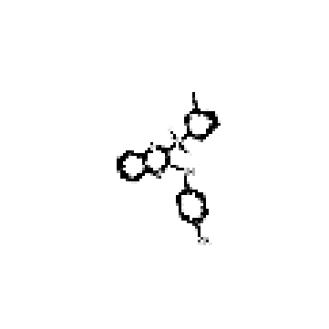 Cc1cccc(S(=O)(=O)c2nc3ccccc3nc2Nc2ccc(C(F)(F)F)cc2)c1